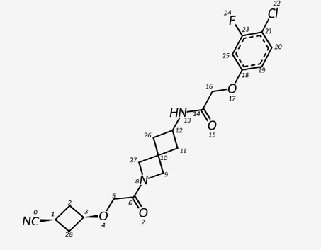 N#C[C@H]1C[C@@H](OCC(=O)N2CC3(CC(NC(=O)COc4ccc(Cl)c(F)c4)C3)C2)C1